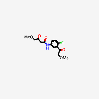 COCC(=O)CC(=O)Nc1ccc(Cl)c(C(=O)COC)c1